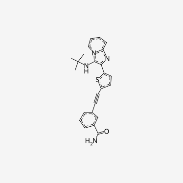 CC(C)(C)Nc1c(-c2ccc(C#Cc3cccc(C(N)=O)c3)s2)nc2ccccn12